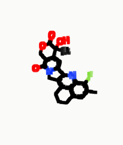 CCC1(O)C(=O)OCc2c1cc1n(c2=O)Cc2c-1nc1c(F)c(C)cc3c1c2CCC3